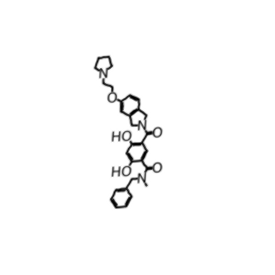 CN(Cc1ccccc1)C(=O)c1cc(C(=O)N2Cc3ccc(OCCN4CCCC4)cc3C2)c(O)cc1O